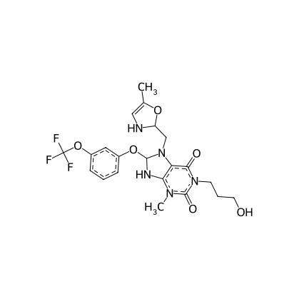 CC1=CNC(CN2c3c(n(C)c(=O)n(CCCO)c3=O)NC2Oc2cccc(OC(F)(F)F)c2)O1